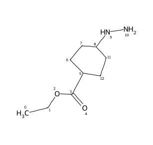 CCOC(=O)C1CCC(NN)CC1